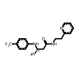 CC(C)[C@H](CC(=O)NCCc1ccccn1)Nc1ccc(C(F)(F)F)cc1